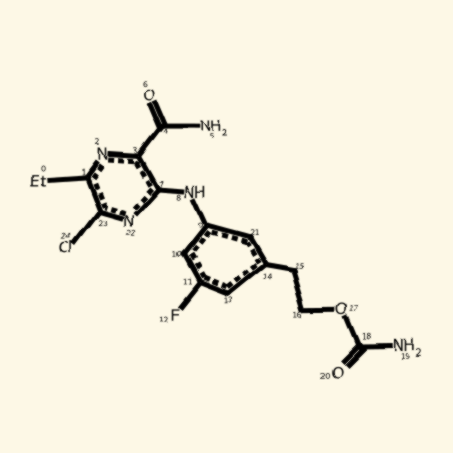 CCc1nc(C(N)=O)c(Nc2cc(F)cc(CCOC(N)=O)c2)nc1Cl